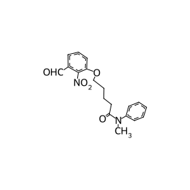 CN(C(=O)CCCCOc1cccc(C=O)c1[N+](=O)[O-])c1ccccc1